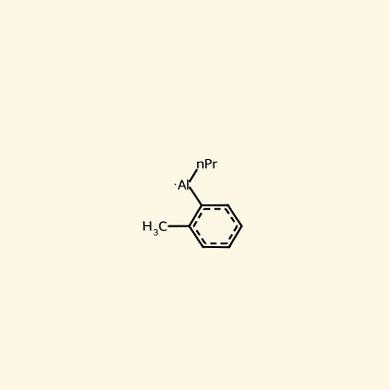 CC[CH2][Al][c]1ccccc1C